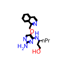 CCC[C@@H](CCO)Nc1nc(N)ncc1OCc1nccc2ccccc12